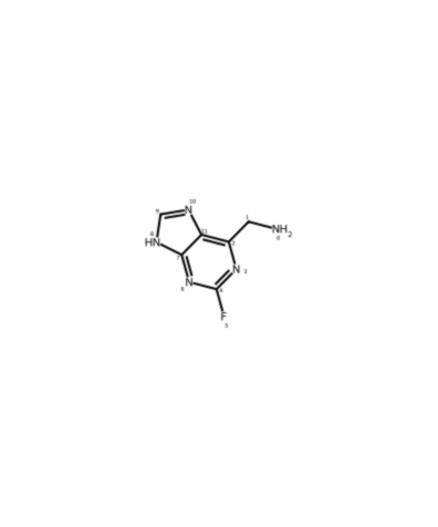 NCc1nc(F)nc2[nH]cnc12